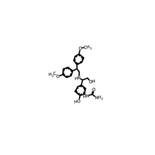 COc1ccc(C(CNC(CO)c2ccc(O)c(NC(N)=O)c2)c2ccc(OC)cc2)cc1